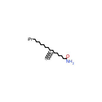 CC(C)CCCCCCCCCCCCCCC(N)=O.[Na].[Na].[Na].[Na]